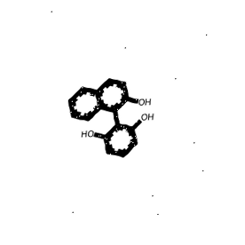 Oc1cccc(O)c1-c1c(O)ccc2ccccc12